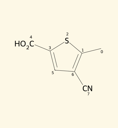 Cc1sc(C(=O)O)cc1C#N